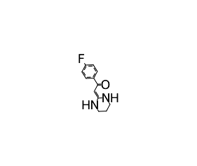 O=C(C=C1NCCCN1)c1ccc(F)cc1